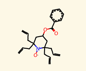 C=CCC1(CC=C)CC(OC(=O)c2ccccc2)CC(CC=C)(CC=C)N1[O]